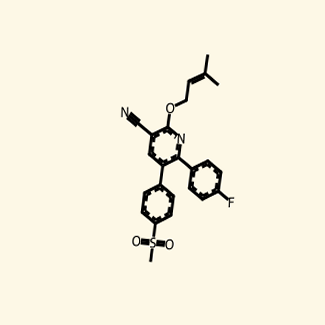 CC(C)=CCOc1nc(-c2ccc(F)cc2)c(-c2ccc(S(C)(=O)=O)cc2)cc1C#N